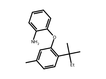 CCC(C)(C)c1ccc(C)cc1Oc1ccccc1N